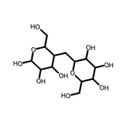 OCC1OC(CC2C(CO)OC(O)C(O)C2O)C(O)C(O)C1O